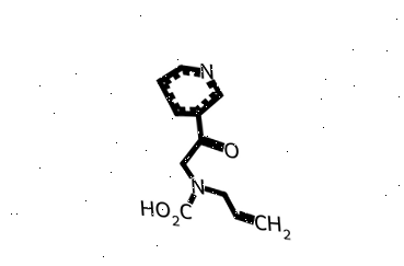 C=CCN(CC(=O)c1cccnc1)C(=O)O